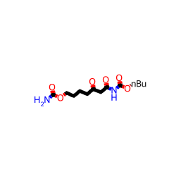 CCCCOC(=O)NC(=O)CC(=O)CCCCOC(N)=O